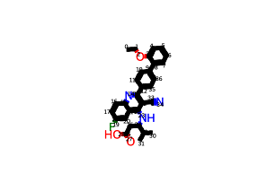 CCOc1ccccc1-c1ccc(-c2nc3ccc(F)cc3c(NC(CC(=O)O)C(C)C)c2C#N)cc1